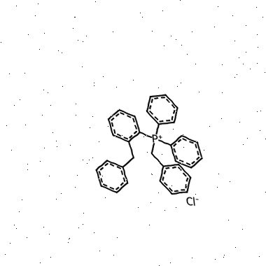 [Cl-].c1ccc(Cc2ccccc2[P+](Cc2ccccc2)(c2ccccc2)c2ccccc2)cc1